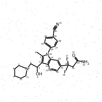 Cc1c(C(O)CN2CCCCC2)c2ncc(C(F)(F)CC(N)=O)cc2n1-c1ccc(C#N)cc1